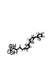 O=P(O)(O)CCCCc1ccc(-c2ccc(-c3cccs3)s2)s1